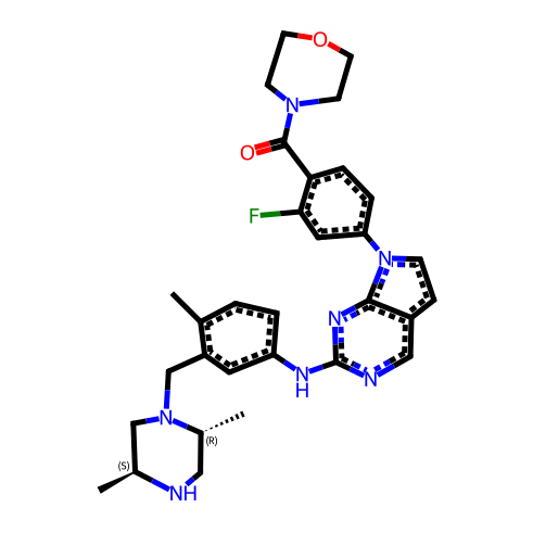 Cc1ccc(Nc2ncc3ccn(-c4ccc(C(=O)N5CCOCC5)c(F)c4)c3n2)cc1CN1C[C@H](C)NC[C@H]1C